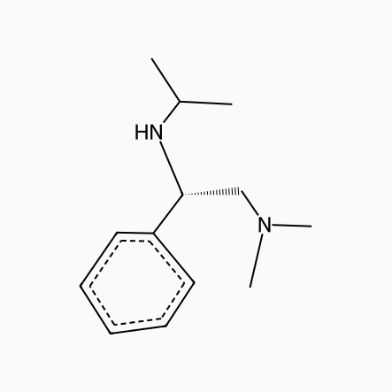 CC(C)N[C@H](CN(C)C)c1ccccc1